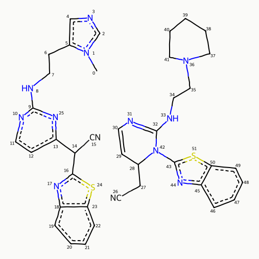 Cn1cncc1CCNc1nccc(C(C#N)c2nc3ccccc3s2)n1.N#CCC1C=CN=C(NCCN2CCCCC2)N1c1nc2ccccc2s1